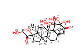 C[C@@]12C(=CC(=O)C(O)(O)C1(O)O)CC[C@@H]1[C@@H]2[C@@H](O)C[C@@]2(C)[C@H]1CC[C@]2(O)C(=O)CO